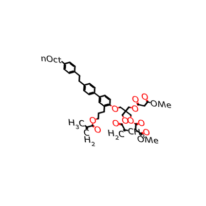 C=C(C)C(=O)OCCCc1cc(-c2ccc(CCc3ccc(CCCCCCCC)cc3)cc2)ccc1OCC(COC(=O)CC(=O)OC)(COC(=O)CC(=O)OC)COC(=O)C(=C)C